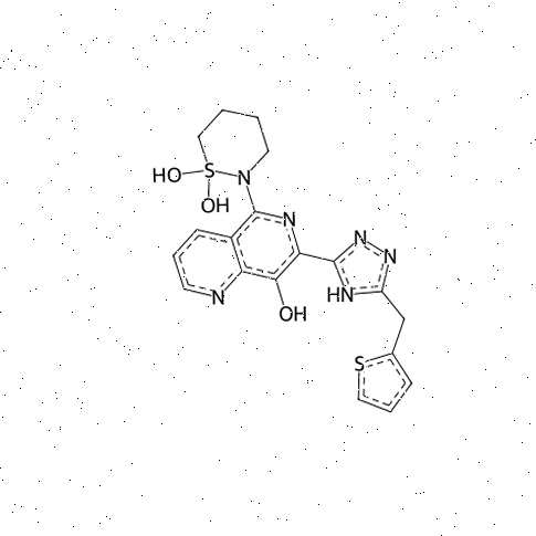 Oc1c(-c2nnc(Cc3cccs3)[nH]2)nc(N2CCCCS2(O)O)c2cccnc12